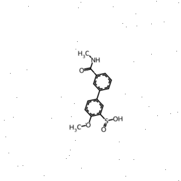 CNC(=O)c1cccc(-c2ccc(OC)c(S(=O)O)c2)c1